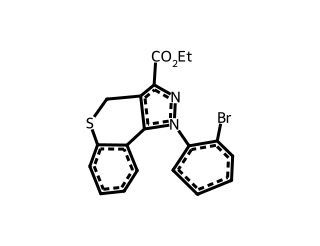 CCOC(=O)c1nn(-c2ccccc2Br)c2c1CSc1ccccc1-2